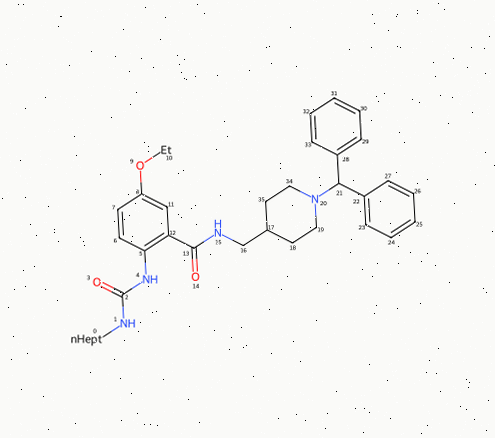 CCCCCCCNC(=O)Nc1ccc(OCC)cc1C(=O)NCC1CCN(C(c2ccccc2)c2ccccc2)CC1